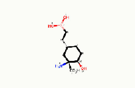 N[C@]1(C(=O)O)C[C@H](CCB(O)O)CC[C@H]1O